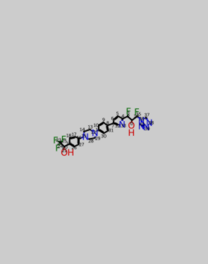 OC(C(F)c1ccc(-c2ccc(N3CCN(c4ccc(C(O)C(F)(F)F)cc4)CC3)cc2)cn1)C(F)n1cnnn1